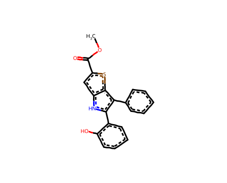 COC(=O)c1cc2[nH]c(-c3ccccc3O)c(-c3ccccc3)c2s1